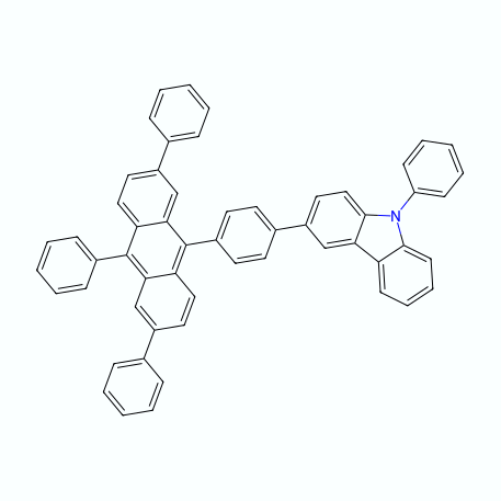 c1ccc(-c2ccc3c(-c4ccc(-c5ccc6c(c5)c5ccccc5n6-c5ccccc5)cc4)c4cc(-c5ccccc5)ccc4c(-c4ccccc4)c3c2)cc1